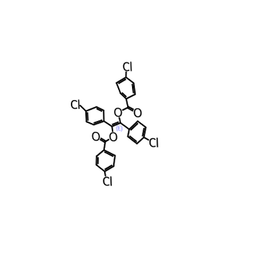 O=C(O/C(=C(/OC(=O)c1ccc(Cl)cc1)c1ccc(Cl)cc1)c1ccc(Cl)cc1)c1ccc(Cl)cc1